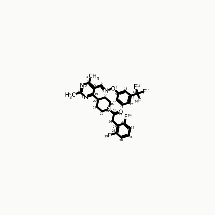 Cc1nc(C)c(C=NOc2cccc(C(F)(F)F)c2)c(C2CCN(C(=O)Cc3c(F)cccc3F)CC2)n1